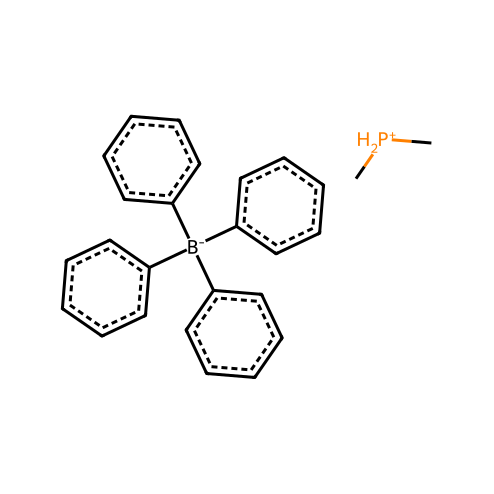 C[PH2+]C.c1ccc([B-](c2ccccc2)(c2ccccc2)c2ccccc2)cc1